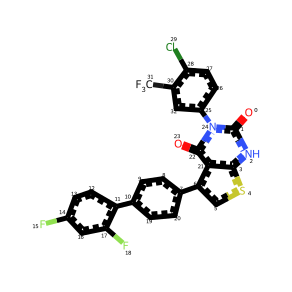 O=c1[nH]c2scc(-c3ccc(-c4ccc(F)cc4F)cc3)c2c(=O)n1-c1ccc(Cl)c(C(F)(F)F)c1